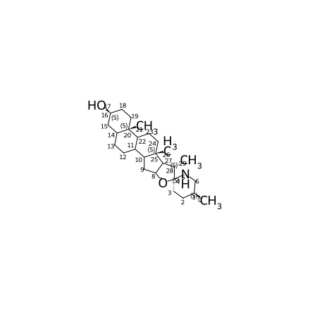 C[C@H]1CC[C@]2(NC1)OC1CC3C4CCC5C[C@@H](O)CC[C@]5(C)C4CC[C@]3(C)C1[C@@H]2C